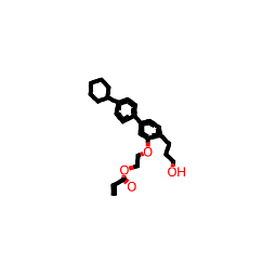 C=CC(=O)OCCOc1cc(-c2ccc(C3CCCCC3)cc2)ccc1CCCO